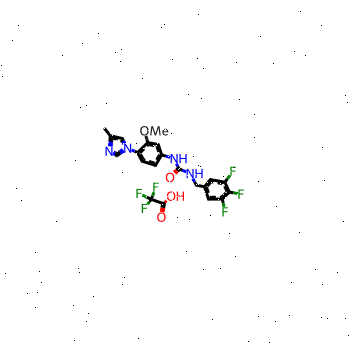 COc1cc(NC(=O)NCc2cc(F)c(F)c(F)c2)ccc1-n1cnc(C)c1.O=C(O)C(F)(F)F